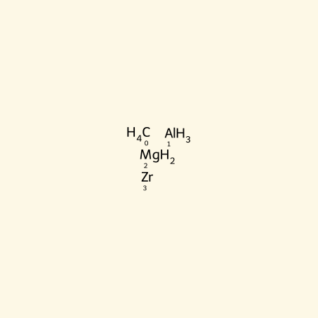 C.[AlH3].[MgH2].[Zr]